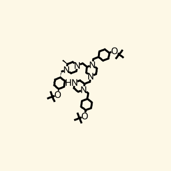 C[C@H]1CN(CC2CN(CC3CNCCN3CC3CCC(OC(C)(C)C)CC3)CCN2CC2CCC(OC(C)(C)C)CC2)CCN1C[C@H]1CC[C@H](OC(C)(C)C)CC1